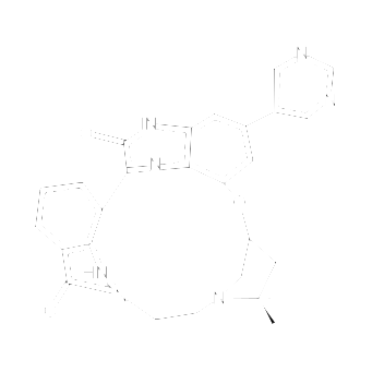 C[C@@H]1CC2CN1CCn1[nH]c3c(cccc3c1=O)-c1nc3c(cc(-c4cncnc4)cc3[nH]c1=O)O2